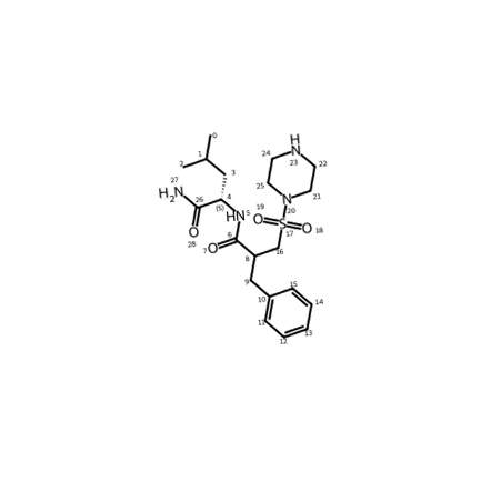 CC(C)C[C@H](NC(=O)C(Cc1ccccc1)CS(=O)(=O)N1CCNCC1)C(N)=O